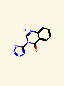 N.O=c1c2ccccc2ncn1-c1nnn[nH]1